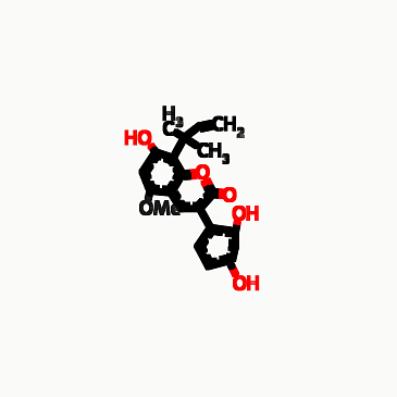 C=CC(C)(C)c1c(O)cc(OC)c2cc(-c3ccc(O)cc3O)c(=O)oc12